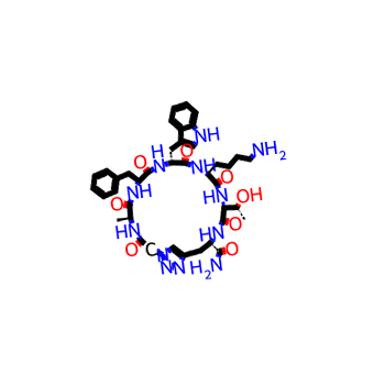 C[C@@H]1NC(=O)Cn2cc(nn2)C[C@@H](C(N)=O)NC(=O)[C@H]([C@@H](C)O)NC(=O)[C@H](CCCCN)NC(=O)[C@@H](Cc2c[nH]c3ccccc23)NC(=O)C(Cc2ccccc2)NC1=O